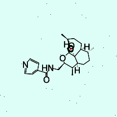 C[C@H]1[C@@H](CNC(=O)c2ccncc2)O[C@@H]2O[C@@]3(C)CC[C@H]4[C@H](C)CC[C@@H]1[C@@]24OO3